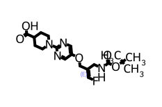 CC(C)(C)OC(=O)NC/C(=C\F)COc1cnc(N2CCC(C(=O)O)CC2)nc1